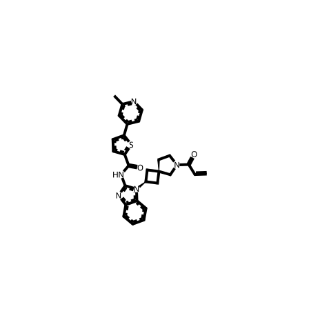 C=CC(=O)N1CC[C@]2(C1)C[C@H](n1c(NC(=O)c3ccc(-c4ccnc(C)c4)s3)nc3ccccc31)C2